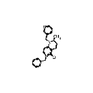 CC1C=Cc2c(ccn(Cc3ccccc3)c2=O)N1Cc1cccnc1